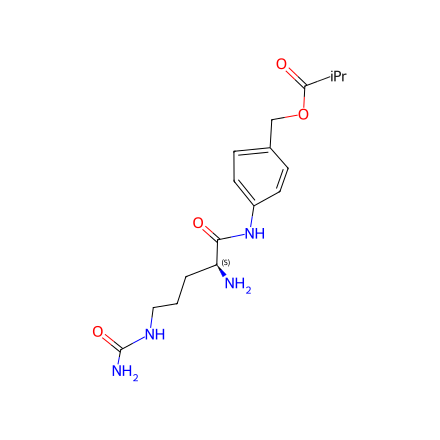 CC(C)C(=O)OCc1ccc(NC(=O)[C@@H](N)CCCNC(N)=O)cc1